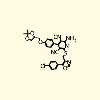 [C-]#[N+]c1c(N)nc(SCc2ncoc2-c2ccc(Cl)cc2)c(C#N)c1-c1ccc(OC[C@@H]2COC(C)(C)O2)cc1